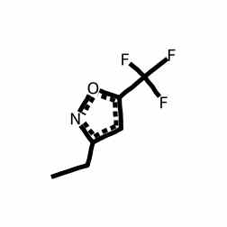 CCc1cc(C(F)(F)F)on1